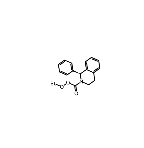 CCOOC(=O)N1CCc2ccccc2[C@@H]1c1ccccc1